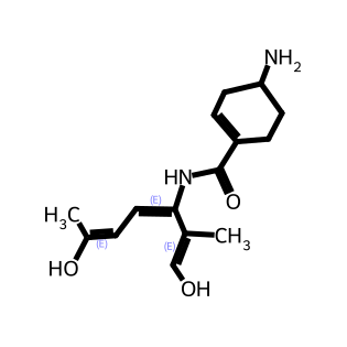 C\C(O)=C/C=C(NC(=O)C1=CCC(N)CC1)\C(C)=C\O